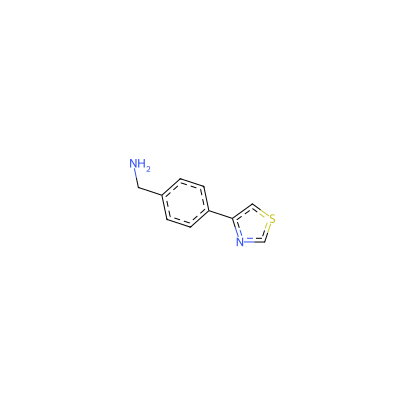 NCc1ccc(-c2cscn2)cc1